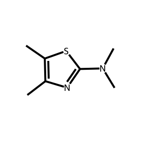 Cc1nc(N(C)C)sc1C